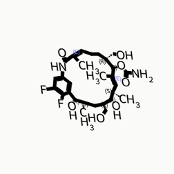 C/C1=C\CC[C@H](CO)[C@@H](OC(N)=O)/C(C)=C/[C@H](C)[C@@H](O)[C@@H](CO)C[C@H](C)[C@@H](O)c2cc(cc(F)c2F)NC1=O